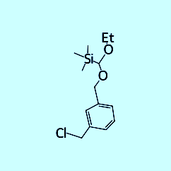 CCOC(OCc1cccc(CCl)c1)[Si](C)(C)C